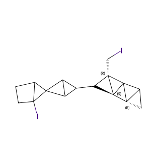 IC[C@@]12C(C3C4C3C43C4CCC43I)[C@]13C21C2C[C@@]213